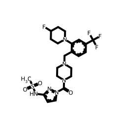 CS(=O)(=O)Nc1ccn(C(=O)N2CCN(Cc3ccc(C(F)(F)F)cc3N3CCC(F)CC3)CC2)n1